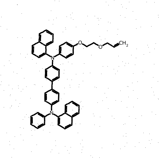 C=CCOCCOc1ccc(N(c2ccc(-c3ccc(N(c4ccccc4)c4cccc5ccccc45)cc3)cc2)c2cccc3ccccc23)cc1